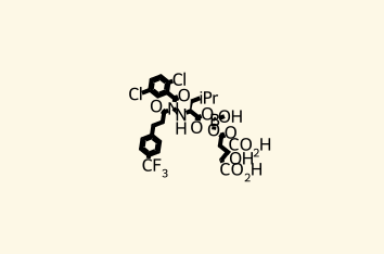 CC(C)C[C@H](NN(C(=O)CCc1ccc(C(F)(F)F)cc1)C(=O)c1cc(Cl)ccc1Cl)C(=O)OB(O)OC(=O)CC(O)(CC(=O)O)C(=O)O